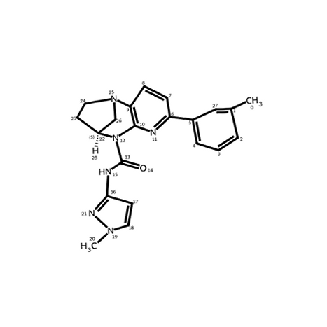 Cc1cccc(-c2ccc3c(n2)N(C(=O)Nc2ccn(C)n2)[C@H]2CCN3C2)c1